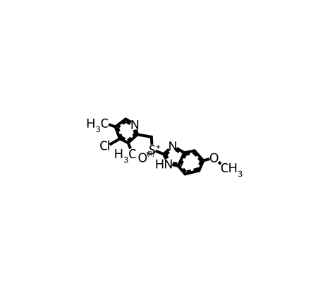 COc1ccc2[nH]c([S@@+]([O-])Cc3ncc(C)c(Cl)c3C)nc2c1